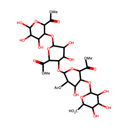 COC(=O)C1OC(O)C(O)C(O)C1OC1OC(C(=O)OC)C(OC2OC(C(=O)OC)C(OC3OC(C(=O)O)C(O)C(O)C3O)C(O)C2OC(C)=O)C(O)C1O